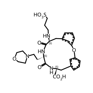 O=C(O)[C@@H]1Cc2cccc(c2)Oc2cccc(c2)C[C@H](NCCCS(=O)(=O)O)C(=O)N[C@@H](CCN2CCOCC2)C(=O)N1